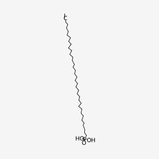 O=P(O)(O)CCCCCCCCCCCCCCCCCCCCCCCCCCCCCCCCCCCCCI